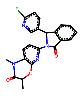 CC1Oc2nc(N3C(=O)c4ccccc4C3c3ccc(F)nc3)ccc2N(C)C1=O